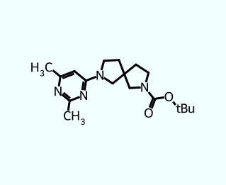 Cc1cc(N2CCC3(CCN(C(=O)OC(C)(C)C)C3)C2)nc(C)n1